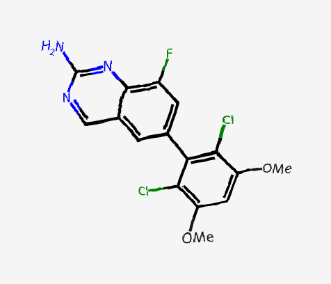 COc1cc(OC)c(Cl)c(-c2cc(F)c3nc(N)ncc3c2)c1Cl